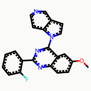 COc1ccc2nc(-c3ccccc3F)nc(-n3ccc4cnccc43)c2c1